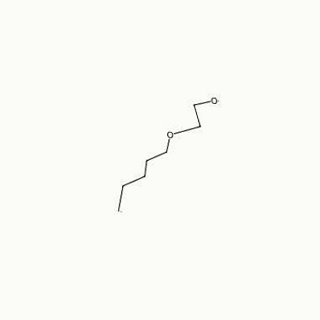 [CH2]CCCCOCC[O]